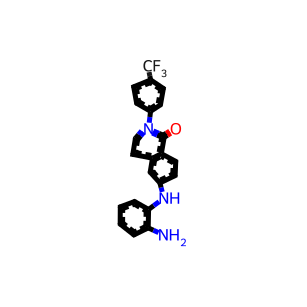 Nc1ccccc1Nc1ccc2c(=O)n(-c3ccc(C(F)(F)F)cc3)ccc2c1